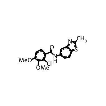 COc1ccc(C(=O)Nc2ccc3sc(C)nc3c2)c(Cl)c1OC